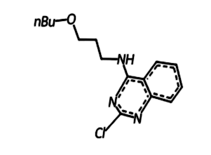 CCCCOCCCNc1nc(Cl)nc2ccccc12